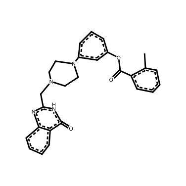 Cc1ccccc1C(=O)Oc1cccc(N2CCN(Cc3nc4ccccc4c(=O)[nH]3)CC2)c1